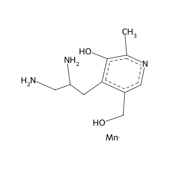 Cc1ncc(CO)c(CC(N)CN)c1O.[Mn]